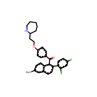 COc1ccc2c(C(=O)c3ccc(OCCC4CCCCCN4)cc3)c(-c3ccc(F)cc3F)ccc2c1